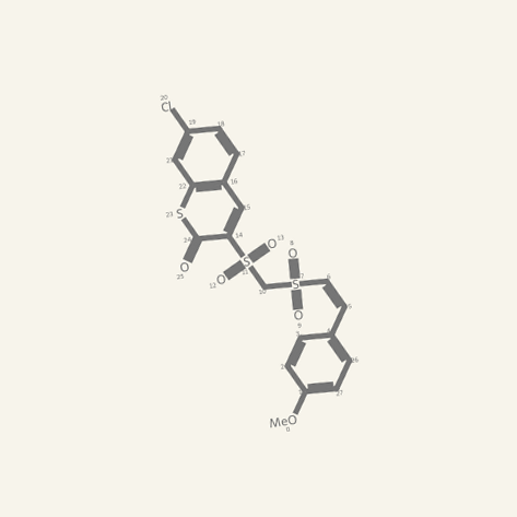 COc1ccc(/C=C\S(=O)(=O)CS(=O)(=O)c2cc3ccc(Cl)cc3sc2=O)cc1